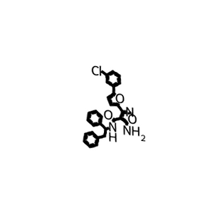 Nc1onc(-c2ccc(-c3cccc(Cl)c3)o2)c1C(=O)NC(Cc1ccccc1)c1ccccc1